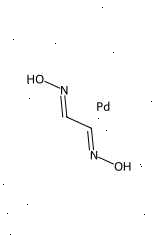 ON=CC=NO.[Pd]